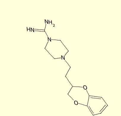 N=C(N)N1CCN(CCC2COc3ccccc3O2)CC1